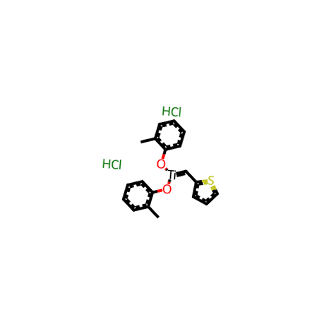 Cc1ccccc1[O][Ti](=[CH]c1cccs1)[O]c1ccccc1C.Cl.Cl